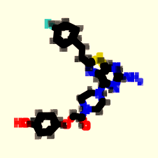 Nc1nc(N2CCN(C(=O)COc3ccc(O)cc3)CC2)c2nc(CCc3ccc(F)cc3)sc2n1